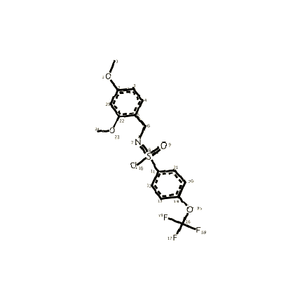 COc1ccc(CN=S(=O)(Cl)c2ccc(OC(F)(F)F)cc2)c(OC)c1